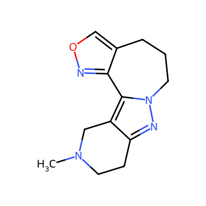 CN1CCc2nn3c(c2C1)-c1nocc1CCC3